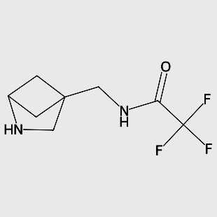 O=C(NCC12CNC(C1)C2)C(F)(F)F